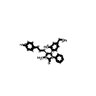 CN1C(=S)N(c2ccccc2)[C@H](c2ccc(CO)cc2O)[C@@H]1CCCc1ccc(F)cc1